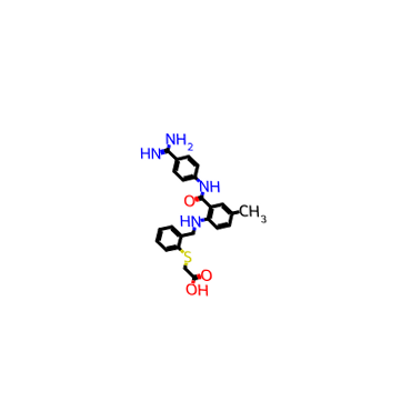 Cc1ccc(NCc2ccccc2SCC(=O)O)c(C(=O)Nc2ccc(C(=N)N)cc2)c1